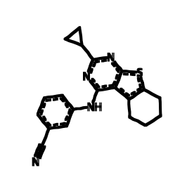 N#Cc1cccc(Nc2nc(C3CC3)nc3sc4c(c23)CCCC4)c1